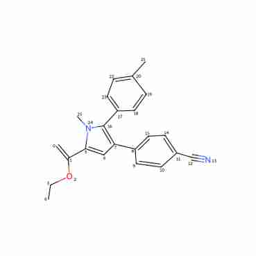 C=C(OCC)c1cc(-c2ccc(C#N)cc2)c(-c2ccc(C)cc2)n1C